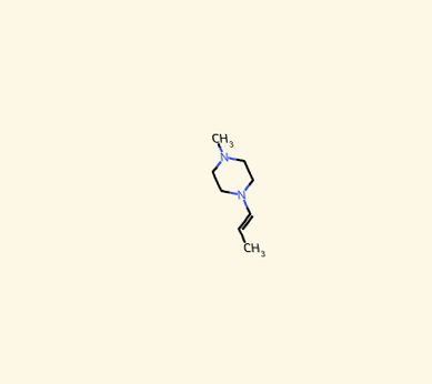 CC=CN1CCN(C)CC1